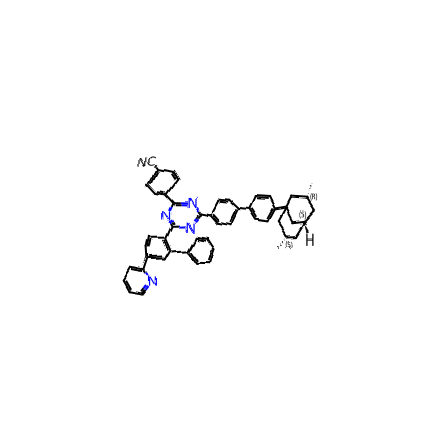 C[C@@H]1C[C@@H]2C[C@H](C)CC(c3ccc(-c4ccc(-c5nc(-c6ccc(C#N)cc6)nc(-c6ccc(-c7ccccn7)cc6-c6ccccc6)n5)cc4)cc3)(C1)C2